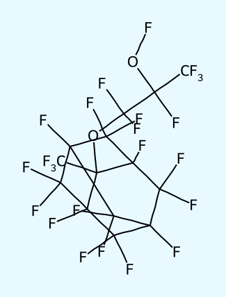 FOC(F)(C(F)(F)F)C(F)(F)OC1(C(F)(F)F)C2(F)C(F)(F)C3(F)C(F)(F)C(F)(C2(F)F)C(F)(F)C1(F)C3(F)F